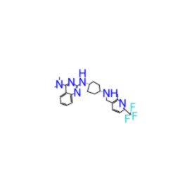 Cc1nc(C(F)(F)F)ccc1CN[C@H]1CC[C@@H](Nc2nc(N(C)C)c3ccccc3n2)CC1